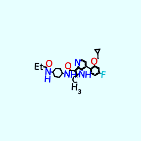 CCC(=O)N[C@H]1CC[C@H](NC(=O)c2c(C)[nH]c3c(-c4ccc(F)cc4OCC4CC4)ccnc23)CC1